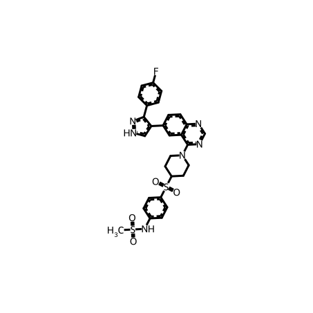 CS(=O)(=O)Nc1ccc(S(=O)(=O)C2CCN(c3ncnc4ccc(-c5c[nH]nc5-c5ccc(F)cc5)cc34)CC2)cc1